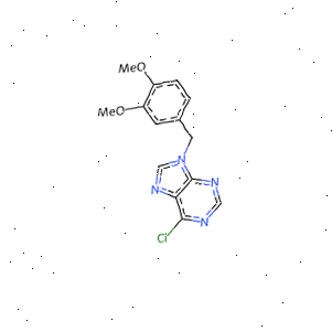 COc1ccc(Cn2cnc3c(Cl)ncnc32)cc1OC